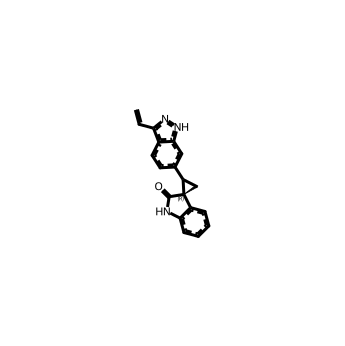 C=Cc1n[nH]c2cc(C3C[C@@]34C(=O)Nc3ccccc34)ccc12